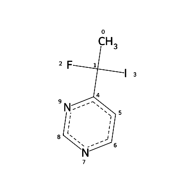 CC(F)(I)c1ccncn1